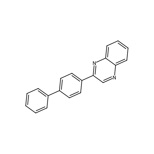 c1ccc(-c2ccc(-c3cnc4ccccc4n3)cc2)cc1